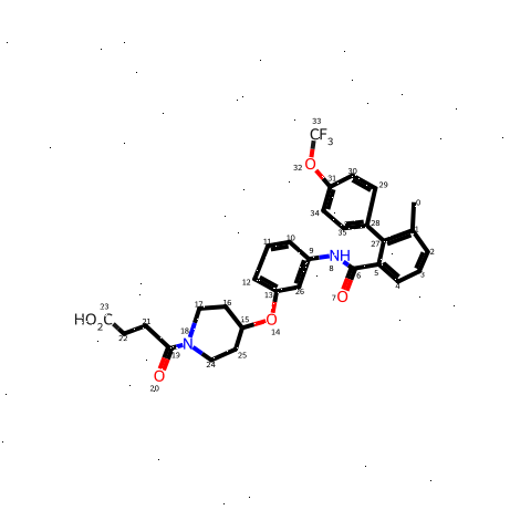 Cc1cccc(C(=O)Nc2cccc(OC3CCN(C(=O)CCC(=O)O)CC3)c2)c1-c1ccc(OC(F)(F)F)cc1